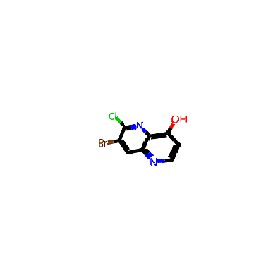 Oc1ccnc2cc(Br)c(Cl)nc12